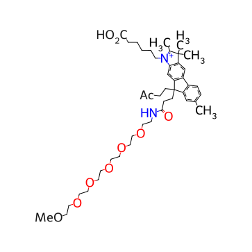 COCCOCCOCCOCCOCCOCCNC(=O)CCC1(CCC(C)=O)c2cc(C)ccc2-c2cc3c(cc21)[N+](CCCCCC(=O)O)=C(C)C3(C)C